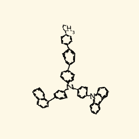 Cc1ccc(-c2ccc(-c3ccc(N(c4ccc(-c5cccc6ccccc56)cc4)c4ccc(-n5c6ccccc6c6ccccc65)cc4)cc3)cc2)cc1